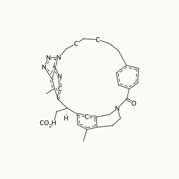 Cc1cc2cc3c1CCN(C3)C(=O)c1ccc(cc1)CCCCCCn1nnc3c(C)c(cnc31)[C@@H]2CC(=O)O